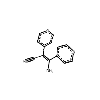 N#C/C(=C(\N)c1ccncc1)c1ccncc1